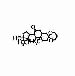 C[C@]12CCC3(CC1CC(=O)C1C2CC[C@@]2(C)C1CCC2(O)O)OCCCO3